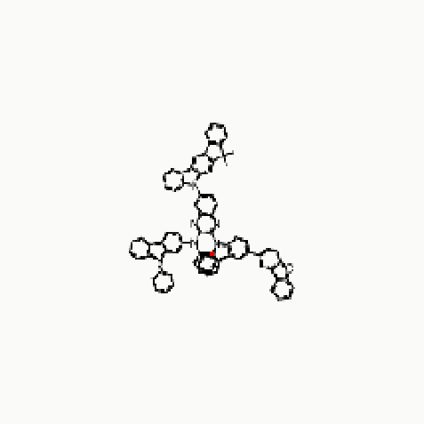 CC1(C)c2ccccc2-c2cc3c4ccccc4n(-c4ccc5nc(-n6c7ccccc7c7cc(-c8ccc9oc%10ccccc%10c9c8)ccc76)c(N(c6ccccc6)c6ccc7c8ccccc8n(-c8ccccc8)c7c6)nc5c4)c3cc21